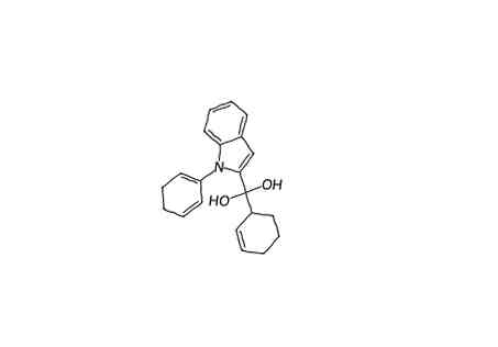 OC(O)(c1cc2ccccc2n1C1=CCCC=C1)C1C=CCCC1